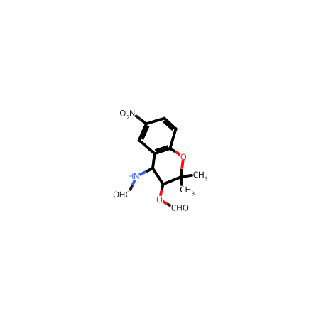 CC1(C)Oc2ccc([N+](=O)[O-])cc2C(NC=O)C1OC=O